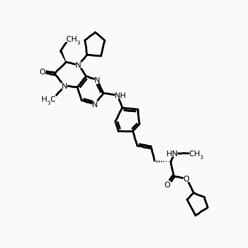 CC[C@@H]1C(=O)N(C)c2cnc(Nc3ccc(/C=C/C[C@H](NC)C(=O)OC4CCCC4)cc3)nc2N1C1CCCC1